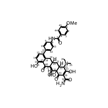 COc1ccc(C(=O)Nc2ccc(-c3ccc(O)c4c3C[C@@H]3C[C@@H]5C(N(C)C)C(O)=C(C(N)=O)C(=O)[C@]5(O)C(O)=C3C4=O)cc2)cc1